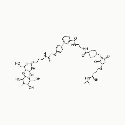 CC(C)NC(=N)CCCSC1CC(=O)N(CC2CCC(C(=O)NCCNC(=O)c3cccc(-c4ccc(OCC(=O)NCCCO[C@@H]5OC(CO)C(OC6OC(CO)C(O)C(C)C6O)[C@H](O)P5)cc4)c3)CC2)C1=O